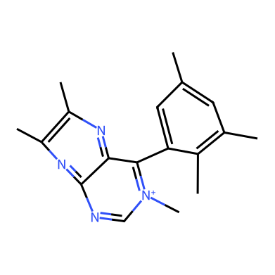 Cc1cc(C)c(C)c(-c2c3nc(C)c(C)nc3nc[n+]2C)c1